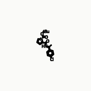 C[C@H](NC(=O)[C@H]1CCCN1C(=O)OC(C)(C)C)c1ccc(Cl)cc1